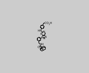 O=C(O)Cc1ccc(Nc2ncc3nnn(-c4cccc(CNC(=O)C56CC7CC(CC(C7)C5)C6)c4)c3n2)cc1